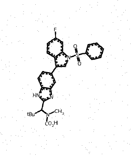 CN(C(=O)O)C(c1nc2cc(-c3cn(S(=O)(=O)c4ccccc4)c4cc(F)ccc34)ccc2[nH]1)C(C)(C)C